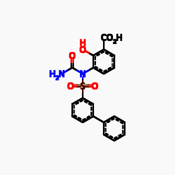 NC(=O)N(c1cccc(C(=O)O)c1O)S(=O)(=O)c1cccc(-c2ccccc2)c1